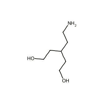 NCCC(CCO)CCO